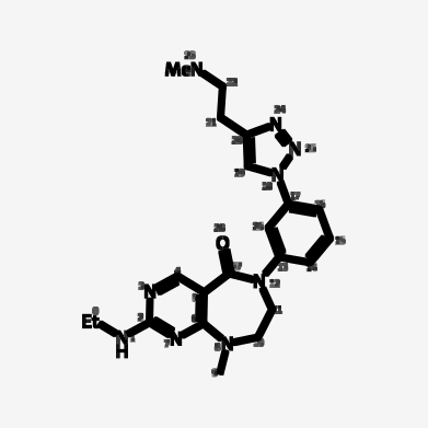 CCNc1ncc2c(n1)N(C)CCN(c1cccc(-n3cc(CCNC)nn3)c1)C2=O